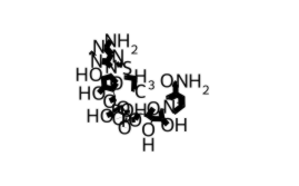 CCCCSc1nc2c(N)ncnc2n1[C@@H]1O[C@H](COP(=O)(O)OP(=O)(O)OC[C@@H]2O[C@H]([n+]3cccc(C(N)=O)c3)C(O)[C@@H]2O)C(O)[C@@H]1O